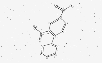 O=[N+]([O-])c1ccc(-c2[c]cccc2)c([N+](=O)[O-])c1